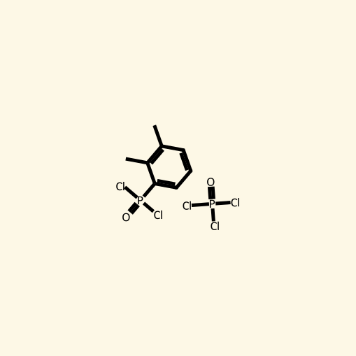 Cc1cccc(P(=O)(Cl)Cl)c1C.O=P(Cl)(Cl)Cl